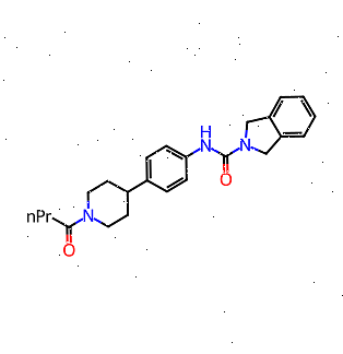 CCCC(=O)N1CCC(c2ccc(NC(=O)N3Cc4ccccc4C3)cc2)CC1